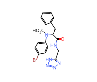 O=C(NCc1nnn[nH]1)[C@H](Cc1ccccc1)N(C(=O)O)c1ccc(Br)cc1